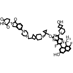 CCc1c(F)ccc2cc(O)cc(-c3ncc4c(N5CCCC6(CC(O)C6)C5)nc(OCC5(CN6CCC7(CC6)CC(CN6CCN(c8ccc9c(c8)CN([C@H]8CCC(=O)NC8=O)C9=O)CC6)C7)CC5)nc4c3F)c12